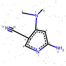 CN(C)c1cc(N)ncc1C#N